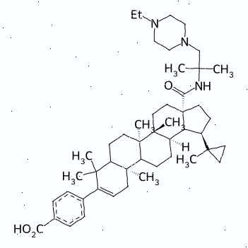 CCN1CCN(CC(C)(C)NC(=O)[C@]23CC[C@@H](C4(C)CC4)C2[C@H]2CCC4[C@@]5(C)CC=C(c6ccc(C(=O)O)cc6)C(C)(C)C5CC[C@@]4(C)[C@]2(C)CC3)CC1